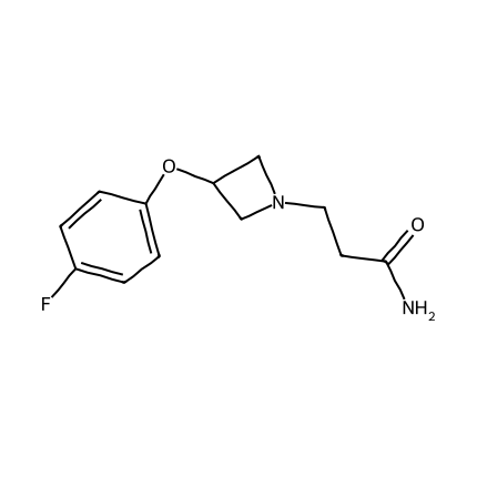 NC(=O)CCN1CC(Oc2ccc(F)cc2)C1